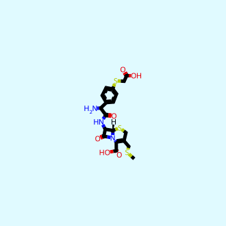 CSCC1=C(C(=O)O)N2C(=O)C(NC(=O)C(N)c3ccc(SCC(=O)O)cc3)[C@@H]2SC1